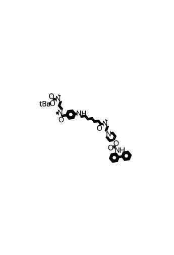 CN(CCN1CCC(OC(=O)Nc2ccccc2-c2ccccc2)CC1)C(=O)CCCCCCNc1ccc(C(=O)N(C)CCCN(C)C(=O)OC(C)(C)C)cc1